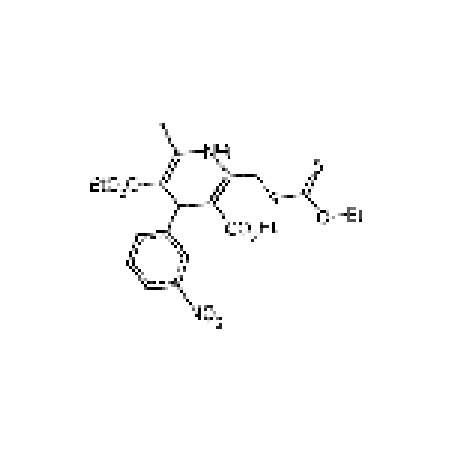 CCOC(=O)C1=C(C)NC(CSC(=S)OCC)=C(C(=O)OCC)C1c1cccc([N+](=O)[O-])c1